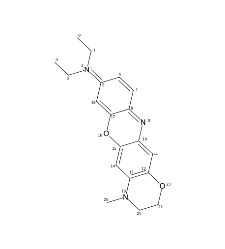 CC[N+](CC)=c1ccc2nc3cc4c(cc3oc-2c1)N(C)CCO4